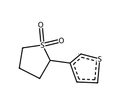 O=S1(=O)CCCC1c1[c]scc1